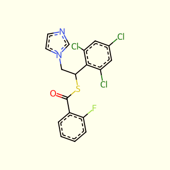 O=C(SC(Cn1ccnc1)c1c(Cl)cc(Cl)cc1Cl)c1ccccc1F